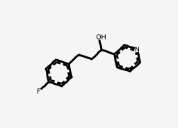 OC(CCc1ccc(F)cc1)c1cccnc1